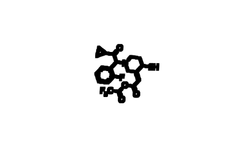 O=C(C=C1CN(C(C(=O)C2CC2)c2ccccc2F)CCC1S)OC(=O)C(F)(F)F